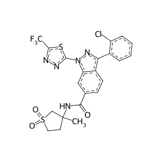 CC1(NC(=O)c2ccc3c(-c4ccccc4Cl)nn(-c4nnc(C(F)(F)F)s4)c3c2)CCS(=O)(=O)C1